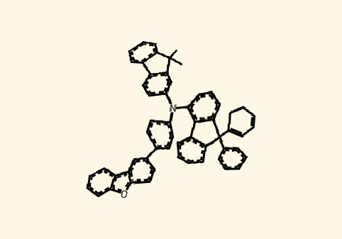 CC1(C)c2ccccc2-c2ccc(N(c3ccc(-c4ccc5oc6ccccc6c5c4)cc3)c3cccc4c3-c3ccccc3C4(C3=CC=CCC3)c3ccccc3)cc21